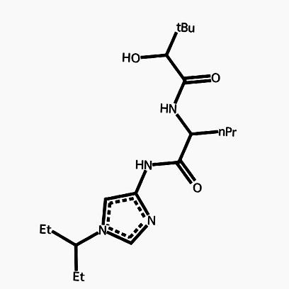 CCCC(NC(=O)C(O)C(C)(C)C)C(=O)Nc1cn(C(CC)CC)cn1